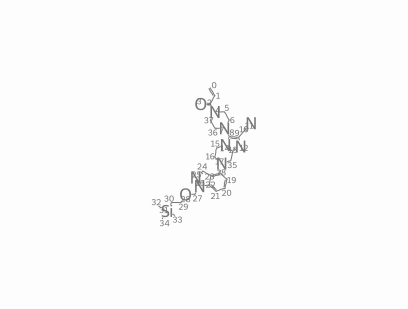 C=CC(=O)N1CCN(c2c(C#N)nc3n2CCN(c2cccc4c2cnn4COCC[Si](C)(C)C)C3)CC1